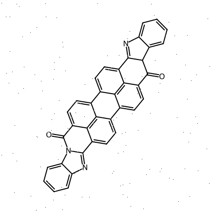 O=C1c2ccc3c4ccc5c6c(ccc(c7ccc(c2c73)C2=Nc3ccccc3C12)c46)c(=O)n1c2ccccc2nc51